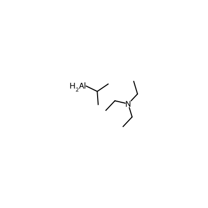 CCN(CC)CC.C[CH](C)[AlH2]